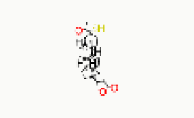 CC(=O)[C@@]1(S)CC[C@@]2(C)[C@H](CC[C@@H]3[C@@H]2CC[C@]2(C)[C@@H](C4=CC(=O)OC4)CC[C@@H]32)C1